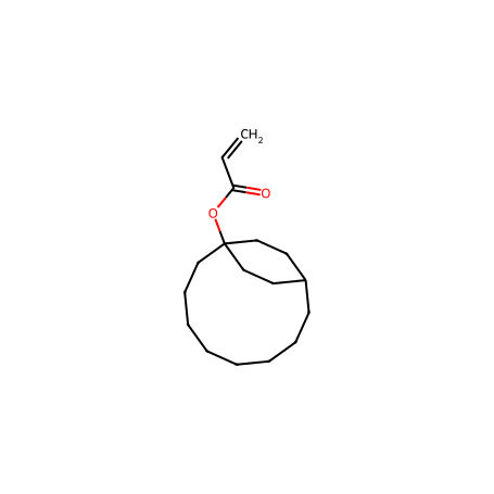 C=CC(=O)OC12CCCCCCCCC(CC1)CC2